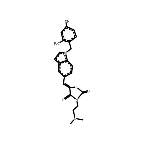 CN(C)CCN1C(=O)S/C(=C\c2ccc3c(ccn3Cc3ccc(C#N)cc3C(F)(F)F)c2)C1=O